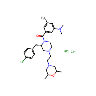 CC1CN(CCN2CCN(C(=O)c3cc(N(C)C)cc(C(F)(F)F)c3)[C@H](Cc3ccc(Cl)cc3)C2)CC(C)O1.Cl.Cl